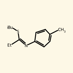 CCC(=Nc1ccc(C)cc1)SC(C)CC